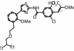 CCC(CC)COCCc1cccc(-c2csc(NC(=O)c3cc(Cl)c(/C=C(/OC)C(=O)O)c(Cl)c3)n2)c1OC